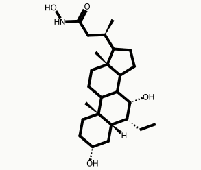 CC[C@H]1[C@@H](O)C2C3CCC([C@H](C)CC(=O)NO)[C@@]3(C)CCC2[C@@]2(C)CC[C@@H](O)C[C@@H]12